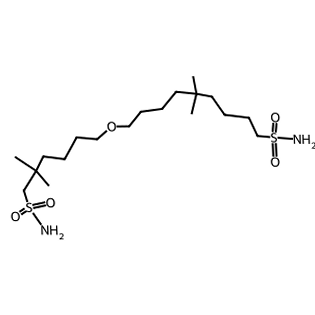 CC(C)(CCCCOCCCCC(C)(C)CS(N)(=O)=O)CCCCS(N)(=O)=O